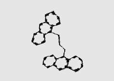 c1ccc2c(CCCc3c4ccccc4cc4ccccc34)c3ccccc3cc2c1